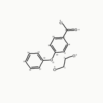 ClCCCl.O=C(Cl)c1ccc(Oc2ccccc2)cc1